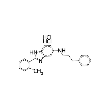 Cc1ccccc1-c1nc2cc(NCCCc3ccccc3)ccc2[nH]1.Cl.Cl